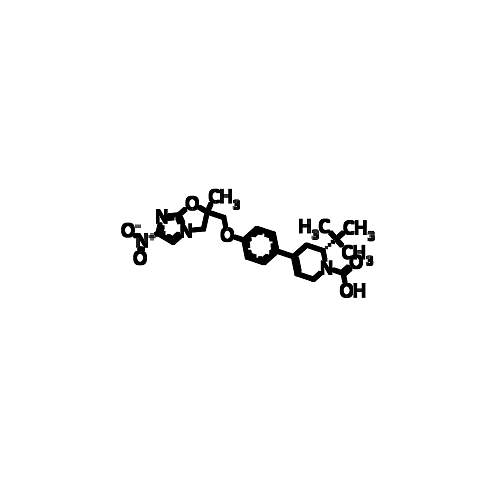 CC1(COc2ccc(C3=CCN(C(=O)O)[C@@H](C(C)(C)C)C3)cc2)Cn2cc([N+](=O)[O-])nc2O1